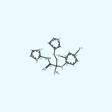 CC(CCc1ccsc1)(Oc1ccc(F)cc1F)C(=O)Nc1nccs1